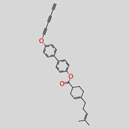 C#CC#CC#COc1ccc(-c2ccc(OC(=O)C3CC=C(CCC=C(C)C)CC3)cc2)cc1